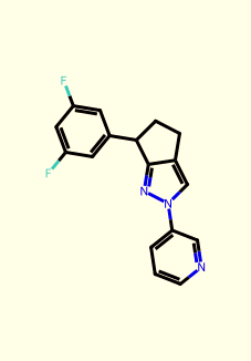 Fc1cc(F)cc(C2CCc3cn(-c4cccnc4)nc32)c1